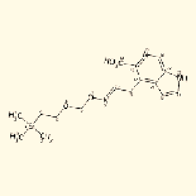 C[Si](C)(C)CCOCON=CCc1c(C(=O)O)ncc2[nH]ccc12